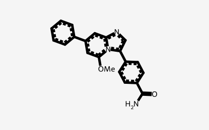 COc1cc(-c2ccccc2)cc2ncc(-c3ccc(C(N)=O)cc3)n12